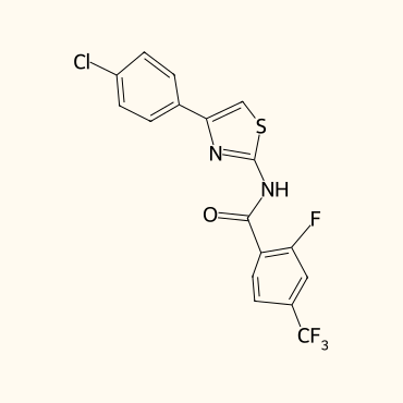 O=C(Nc1nc(-c2ccc(Cl)cc2)cs1)c1ccc(C(F)(F)F)cc1F